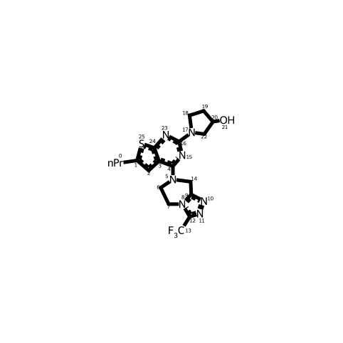 CCCc1cc2c(N3CCn4c(nnc4C(F)(F)F)C3)nc(N3CCC(O)C3)nc2s1